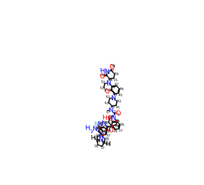 CN(C(=O)N1CCC(Oc2cc(F)cc(N3[C@@H]4CC[C@H]3CN(c3cc(-c5ccccc5O)nnc3N)C4)c2)CC1)C1CCN(c2cccc3c2OCCN3[C@H]2CCC(=O)NC2=O)CC1